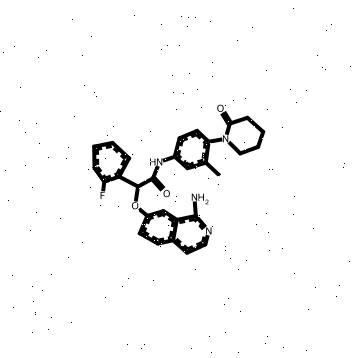 Cc1cc(NC(=O)C(Oc2ccc3ccnc(N)c3c2)c2ccccc2F)ccc1N1CCCCC1=O